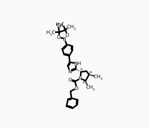 C[C@@H]1C[C@@H](c2ncc(-c3ccc(B4OC(C)(C)C(C)(C)O4)cc3)[nH]2)N(C(=O)OCc2ccccc2)[C@@H]1C